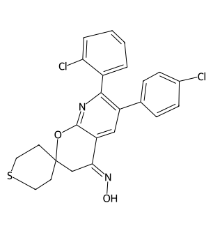 ON=C1CC2(CCSCC2)Oc2nc(-c3ccccc3Cl)c(-c3ccc(Cl)cc3)cc21